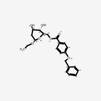 CCO[C@H]1C[C@@H](O)[C@H](O)[C@@H](COC(=O)c2ccc(OCc3ccccc3)cc2)O1